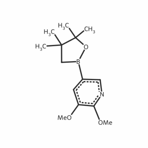 COc1cc(B2CC(C)(C)C(C)(C)O2)cnc1OC